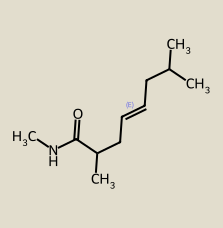 CNC(=O)C(C)C/C=C/CC(C)C